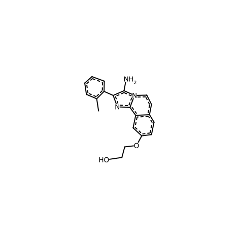 Cc1ccccc1-c1nc2c3cc(OCCO)ccc3ccn2c1N